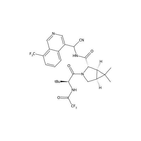 CC(C)(C)[C@H](NC(=O)C(F)(F)F)C(=O)N1C[C@H]2[C@@H]([C@H]1C(=O)NC(C#N)c1cncc3c(C(F)(F)F)cccc13)C2(C)C